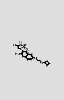 O=C1CN(c2c(O)cc3ccc(OCCOC4CCC4)cc3c2F)S(=O)(=O)N1